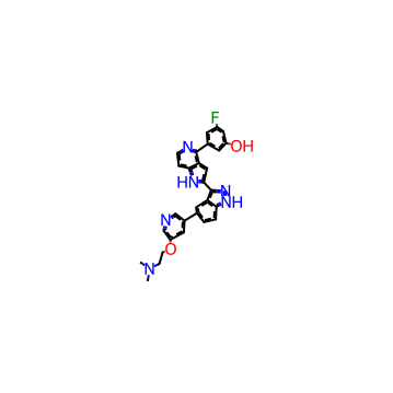 CN(C)CCOc1cncc(-c2ccc3[nH]nc(-c4cc5c(-c6cc(O)cc(F)c6)nccc5[nH]4)c3c2)c1